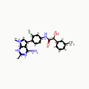 Cc1nc(N)c2c(-c3ccc(NC(=O)C(O)c4cccc(C(F)(F)F)c4)cc3F)cn(C)c2n1